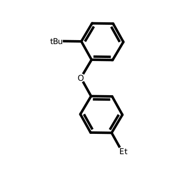 CCc1ccc(Oc2ccccc2C(C)(C)C)cc1